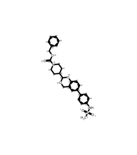 CS(=O)(=O)Nc1ccc(-c2ccc3c(c2)COC(C2CCN(C(=O)OCc4ccccc4)CC2)O3)cc1